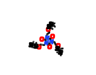 C[Si](C)(C)[Si](C)(C)OCCn1c(=O)n(CCO[Si](C)(C)[Si](C)(C)C)c(=O)n(CCO[Si](C)(C)[Si](C)(C)C)c1=O